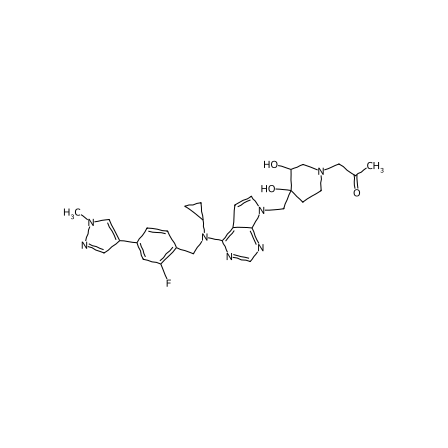 CC(=O)CN1CCC(O)(Cn2ccc3c(N(Cc4ccc(-c5cnn(C)c5)cc4F)C4CC4)ncnc32)C(O)C1